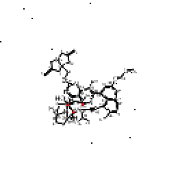 C=C1CN2CC(=C)CC2(COc2nc(N3C[C@H]4CC[C@@H](C3)N4C(=O)O)c3cnc(-c4cc(OCOC)cc5ccc(F)c(C#C[Si](C(C)C)(C(C)C)C(C)C)c45)c(F)c3n2)C1